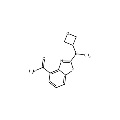 CN(c1nc2c(C(N)=O)[c]ccc2s1)C1COC1